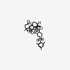 C=C1C(=O)[C@]23[C@H](OC(=O)C4CCN(S(=O)(=O)c5c(C)cc(C)cc5C)CC4)[C@H]1CC[C@H]2[C@@]12CO[C@@]3(O)[C@@H](O)[C@@H]1C(C)(C)CCC2=O